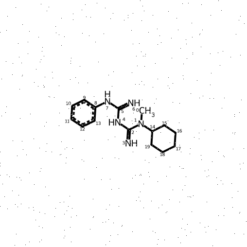 CN(C(=N)NC(=N)Nc1ccccc1)C1CCCCC1